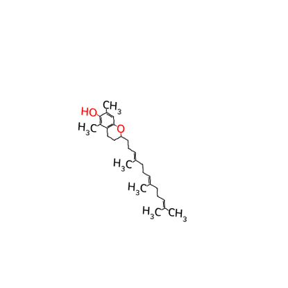 CC(C)=CCC/C(C)=C/CC/C(C)=C/CCC1CCc2c(cc(C)c(O)c2C)O1